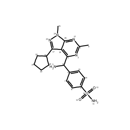 Cc1nc(C(N)c2ccc(S(N)(=O)=O)cc2)c2c(C3CCCC3)nn(C)c2n1